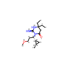 CCC1(CC)CC(=O)N(C(CCOC)[C@@H]2C[C@H]2C)C(=N)N1